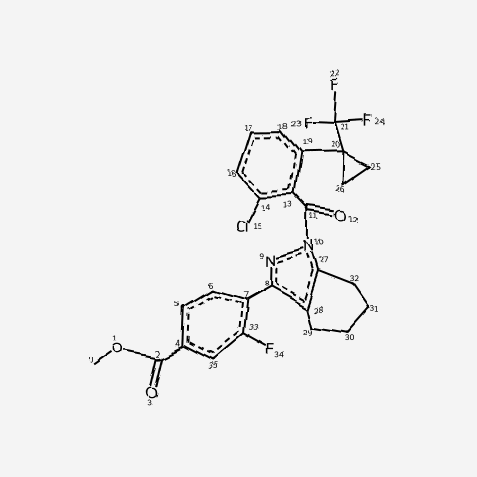 COC(=O)c1ccc(-c2nn(C(=O)c3c(Cl)cccc3C3(C(F)(F)F)CC3)c3c2CCCC3)c(F)c1